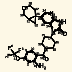 Nc1cc(OC(F)(F)F)ccc1C(=O)N1CCC(n2c(=O)[nH]c3ncc(C45CCOCC4C5)cc32)CC1